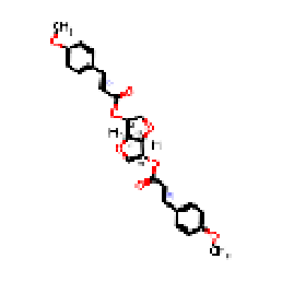 COc1ccc(/C=C/C(=O)O[C@H]2CO[C@@H]3[C@H]2OC[C@H]3OC(=O)/C=C/c2ccc(OC)cc2)cc1